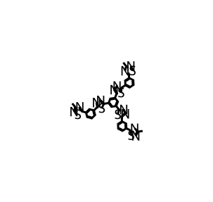 Cc1nsc(-c2cccc(-c3nnc(-c4cc(-c5nnc(-c6cccc(-c7nc(C)ns7)c6)s5)cc(-c5nnc(-c6cccc(-c7nc(C)ns7)c6)s5)c4)s3)c2)n1